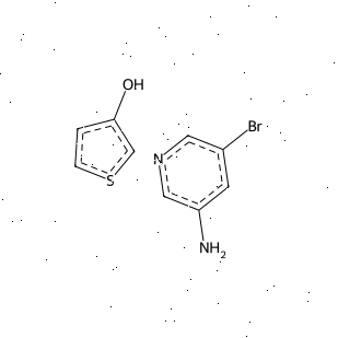 Nc1cncc(Br)c1.Oc1ccsc1